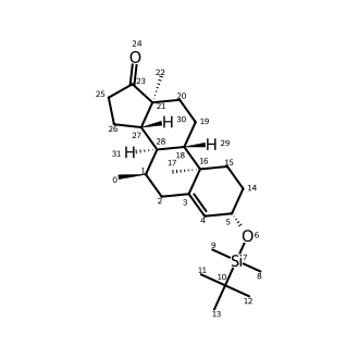 C[C@@H]1CC2=C[C@@H](O[Si](C)(C)C(C)(C)C)CC[C@]2(C)[C@H]2CC[C@]3(C)C(=O)CC[C@H]3[C@H]12